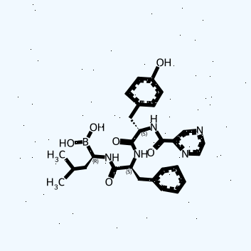 CC(C)C[C@H](NC(=O)[C@H](Cc1ccccc1)NC(=O)[C@H](Cc1ccc(O)cc1)NC(=O)c1cnccn1)B(O)O